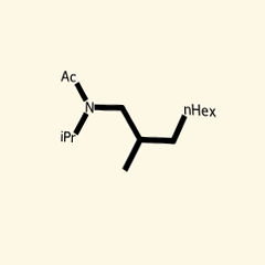 CCCCCCCC(C)CN(C(C)=O)C(C)C